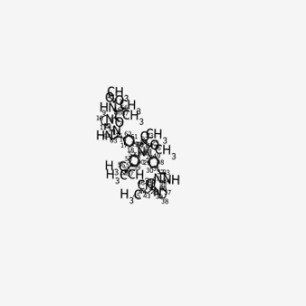 COC(=O)N[C@H](C(=O)N1CCC[C@H]1c1nc(-c2ccc([C@@H]3[C@H](OC)[C@@H](OC)[C@@H](c4ccc(-c5c[nH]c([C@@H]6CCCN6C(=O)[CH]C(C)C)n5)cc4)N3c3ccc(C(C)(C)C)cc3)cc2)c[nH]1)C(C)C